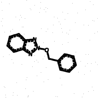 c1ccc(COn2nc3ccccc3n2)cc1